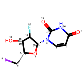 O=c1ccn([C@@H]2O[C@H](CI)[C@@H](O)C2F)c(=O)[nH]1